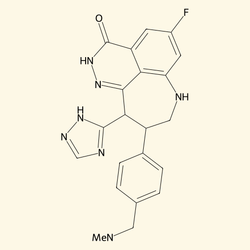 CNCc1ccc(C2CNc3cc(F)cc4c(=O)[nH]nc(c34)C2c2ncn[nH]2)cc1